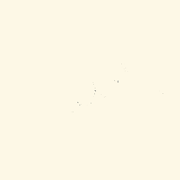 O=C(C#Cc1ccc(F)cc1)N1CC2(CCN(C(=O)c3ccc(Br)cc3)CC2)C1